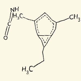 CCc1c2c(C)cc(C)c1-2.N=C=O